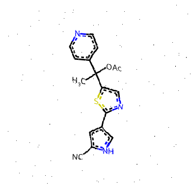 CC(=O)OC(C)(c1ccncc1)c1cnc(-c2c[nH]c(C#N)c2)s1